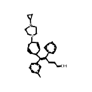 Cc1cccc(/C(=C(\CCCO)c2ccccc2)C2C#CCC(N3CCN(C4CC4)CC3)C=C2)c1